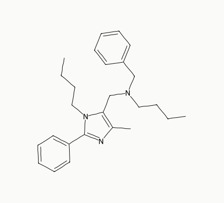 CCCCN(Cc1ccccc1)Cc1c(C)nc(-c2ccccc2)n1CCCC